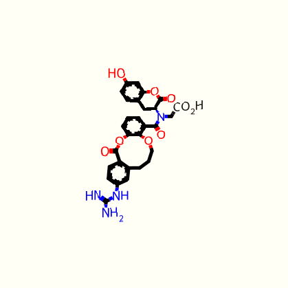 N=C(N)Nc1ccc2c(c1)CCCOc1c(cccc1C(=O)N(CC(=O)O)[C@H]1Cc3ccc(O)cc3OC1=O)OC2=O